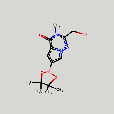 Cn1c(CO)nn2cc(B3OC(C)(C)C(C)(C)O3)cc2c1=O